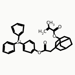 C=C(C)C(=O)OC12CC3CC(CC(CC(=O)Oc4ccc([S+](c5ccccc5)c5ccccc5)cc4)(C3)C1)C2